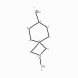 CC(C)N1CC2(CCC(C(C)(C)C)CC2)C1